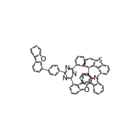 c1ccc(-c2nc(-c3ccc(-c4cccc5c4oc4ccccc45)cc3)nc(-c3cccc4oc5ccc(-c6cccc7sc8cccc(-n9c%10ccccc%10c%10ccccc%109)c8c67)cc5c34)n2)cc1